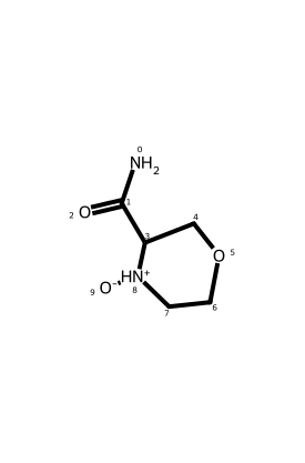 NC(=O)C1COCC[NH+]1[O-]